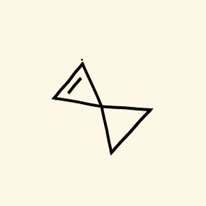 [C]1=CC12CC2